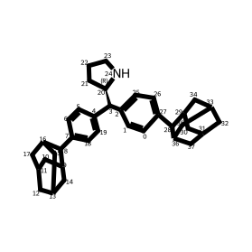 c1cc(C(c2ccc(C3C4CC5CC(C4)CC3C5)cc2)[C@H]2CCCN2)ccc1C1C2CC3CC(C2)CC1C3